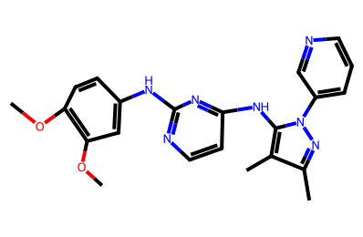 COc1ccc(Nc2nccc(Nc3c(C)c(C)nn3-c3cccnc3)n2)cc1OC